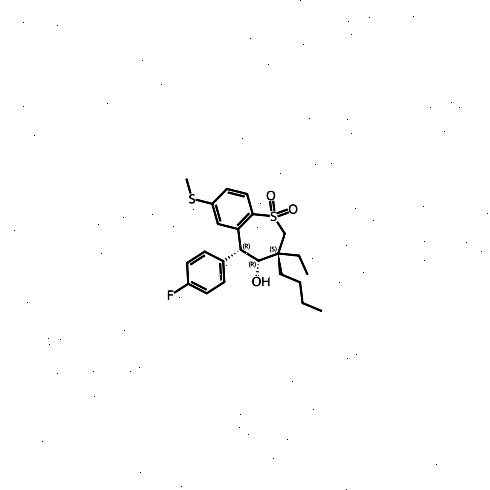 CCCC[C@]1(CC)CS(=O)(=O)c2ccc(SC)cc2[C@@H](c2ccc(F)cc2)[C@H]1O